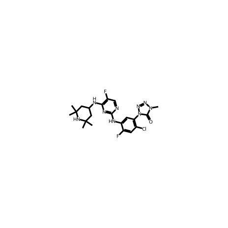 Cn1nnn(-c2cc(Nc3ncc(F)c(NC4CC(C)(C)NC(C)(C)C4)n3)c(F)cc2Cl)c1=O